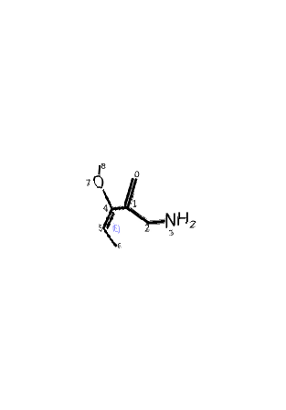 C=C(CN)/C(=C\C)OC